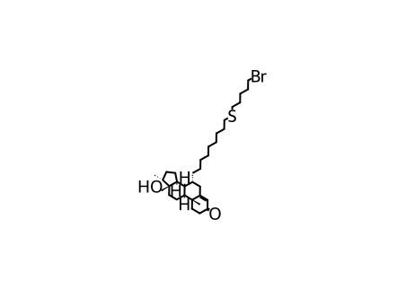 C[C@]12CCC(=O)C=C1C[C@@H](CCCCCCCCCSCCCCCBr)[C@@H]1[C@@H]2CC[C@@]2(C)[C@H]1CC[C@]2(C)O